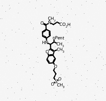 CCCCCC(C)C(Nc1ccc(C(=O)N(C)CCC(=O)O)cc1)c1oc2ccc(OCCCS(C)(=O)=O)cc2c1C